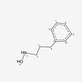 ONCCCc1ccccc1